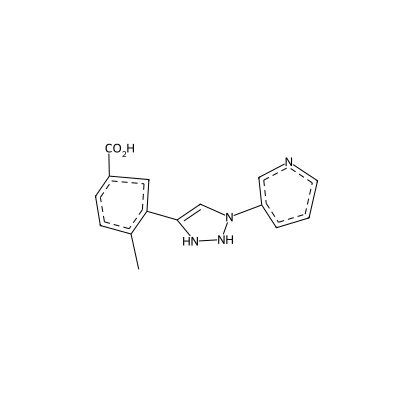 Cc1ccc(C(=O)O)cc1C1=CN(c2cccnc2)NN1